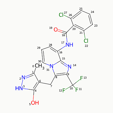 Cc1n[nH]c(O)c1Cc1c(C(F)(F)F)nc2c(NC(=O)c3c(Cl)cccc3Cl)cccn12